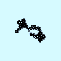 CC(COC(=O)CC(=O)OCC(C)COc1ccc(C2(c3ccc(OCC4CO4)cc3)c3ccccc3-c3ccccc32)cc1)COc1ccc(C2(c3ccc(OCC4CO4)cc3)c3ccccc3-c3ccccc32)cc1